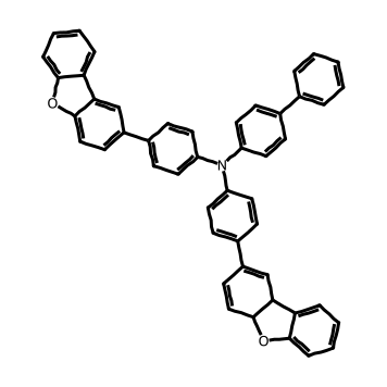 C1=CC2Oc3ccccc3C2C=C1c1ccc(N(c2ccc(-c3ccccc3)cc2)c2ccc(-c3ccc4oc5ccccc5c4c3)cc2)cc1